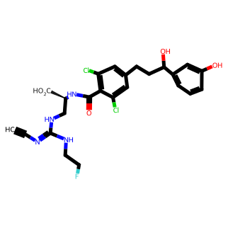 C#C/N=C(/NCCF)NC[C@H](NC(=O)c1c(Cl)cc(CCC(O)c2cccc(O)c2)cc1Cl)C(=O)O